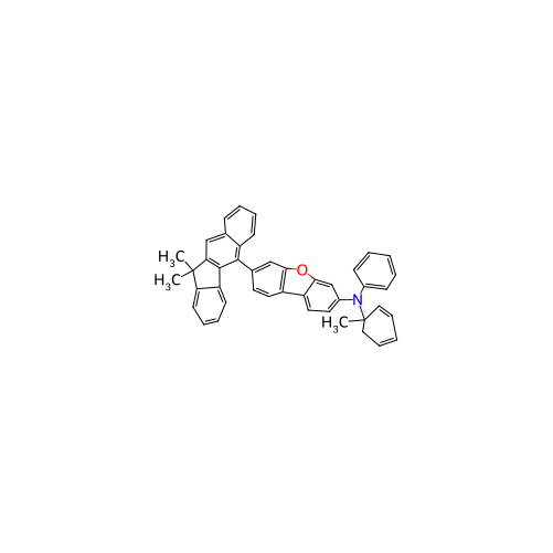 CC1(C)c2ccccc2-c2c1cc1ccccc1c2-c1ccc2c(c1)oc1cc(N(c3ccccc3)C3(C)C=CC=CC3)ccc12